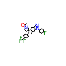 CC(=O)N1CCC(Cc2ccc(C(F)(F)F)cc2)(c2cc3cnn(-c4ccc(F)cc4)c3cc2C)C1